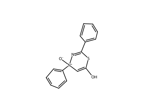 [O-][N+]1(c2ccccc2)C=C(O)SC(c2ccccc2)=N1